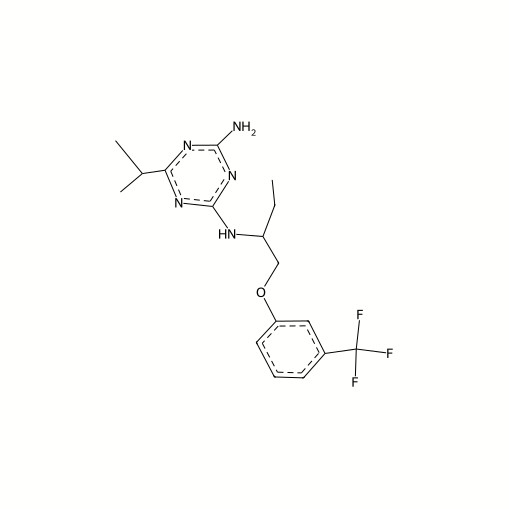 CCC(COc1cccc(C(F)(F)F)c1)Nc1nc(N)nc(C(C)C)n1